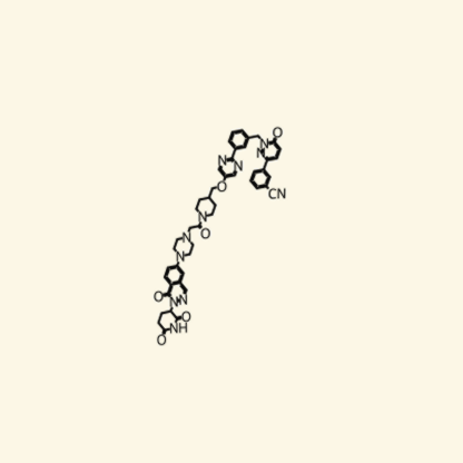 N#Cc1cccc(-c2ccc(=O)n(Cc3cccc(-c4ncc(OCC5CCN(C(=O)CN6CCN(c7ccc8c(=O)n(C9CCC(=O)NC9=O)ncc8c7)CC6)CC5)cn4)c3)n2)c1